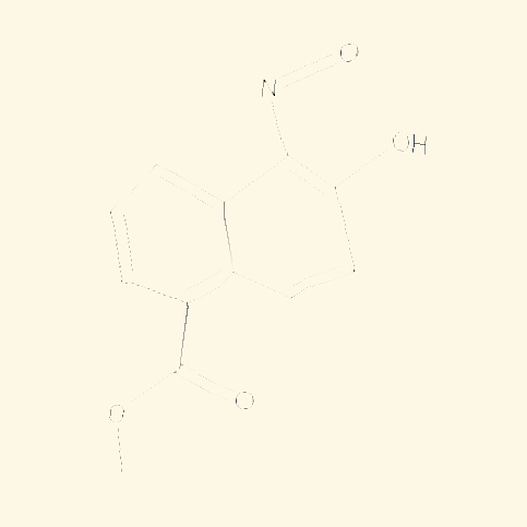 COC(=O)c1cccc2c(N=O)c(O)ccc12